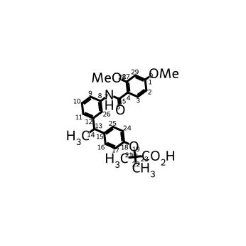 COc1ccc(C(=O)Nc2cccc(C(C)c3ccc(OC(C)(C)C(=O)O)cc3)c2)c(OC)c1